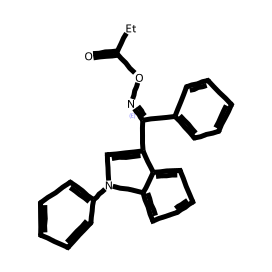 CCC(=O)O/N=C(\c1ccccc1)c1cn(-c2ccccc2)c2ccccc12